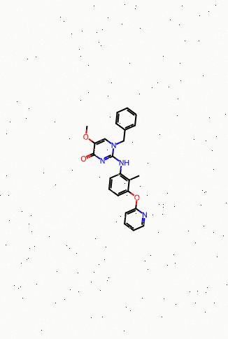 COc1cn(Cc2ccccc2)c(Nc2cccc(Oc3ccccn3)c2C)nc1=O